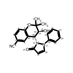 CC1(C)Oc2ccc(C#N)cc2[C@@H](n2c(=O)ccn2-c2ccccc2)[C@@H]1O